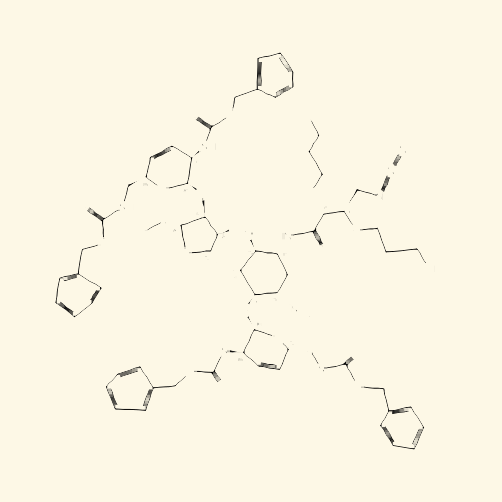 CCCCO[C@H](CN=[N+]=[N-])[C@@H](OCCCC)C(=O)N[C@@H]1C[C@H](N)[C@@H](O[C@H]2O[C@H](CNC(=O)OCc3ccccc3)C=C[C@H]2NC(=O)OCc2ccccc2)[C@H](O[C@@H]2O[C@H](CO)[C@@H](O[C@H]3O[C@@H](CNC(=O)OCc4ccccc4)C=C[C@H]3NC(=O)OCc3ccccc3)[C@H]2O)[C@H]1O